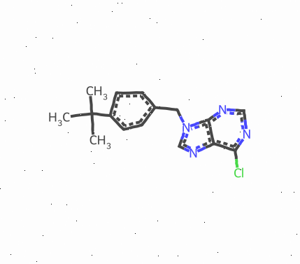 CC(C)(C)c1ccc(Cn2cnc3c(Cl)ncnc32)cc1